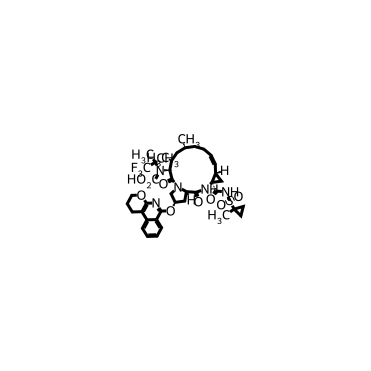 C[C@@H]1CCC=C[C@@H]2C[C@@]2(C(=O)NS(=O)(=O)C2(C)CC2)NC(=O)[C@@H]2C[C@@H](Oc3nc4c(c5ccccc35)CCCO4)CN2C(=O)[C@@H](N(C(=O)O)C(C)(C)C(F)(F)F)[C@H](C)C1